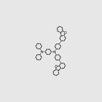 c1ccc(N(c2ccccc2)c2ccc(N(c3ccc(-c4ccc5oc6ccccc6c5c4)cc3)c3ccc(-c4cccc5c4oc4ccccc45)cc3)cc2)cc1